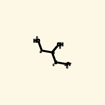 CCCSC(O)CO